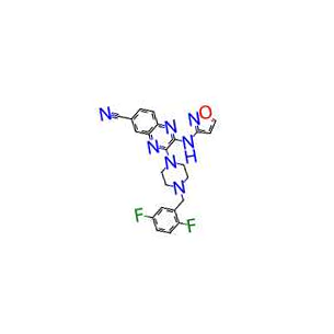 N#Cc1ccc2nc(Nc3ccon3)c(N3CCN(Cc4cc(F)ccc4F)CC3)nc2c1